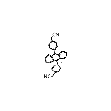 C[C@@]1(c2c3ccccc3c(-c3ccc(CC#N)cc3)c3ccccc23)C=CC(CC#N)=CC1